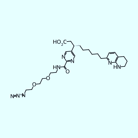 [N-]=[N+]=NCCOCCOCCNC(=O)c1ncc([C@@H](CCCCCCc2ccc3c(n2)NCCC3)CC(=O)O)cn1